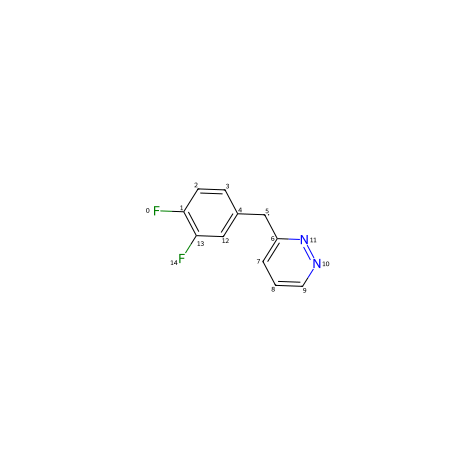 Fc1ccc([CH]c2cccnn2)cc1F